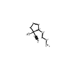 COCOC1CCCC1(O)C#N